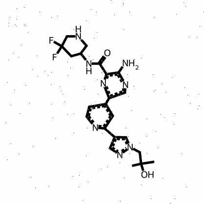 CC(C)(O)Cn1cc(-c2cc(-c3cnc(N)c(C(=O)NC4CNCC(F)(F)C4)n3)ccn2)cn1